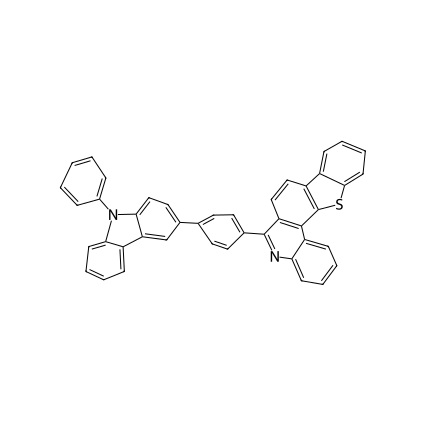 c1ccc(-n2c3ccccc3c3cc(-c4ccc(-c5nc6ccccc6c6c5ccc5c7ccccc7sc56)cc4)ccc32)cc1